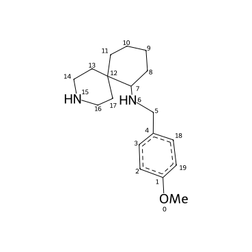 COc1ccc(CNC2CCCCC23CCNCC3)cc1